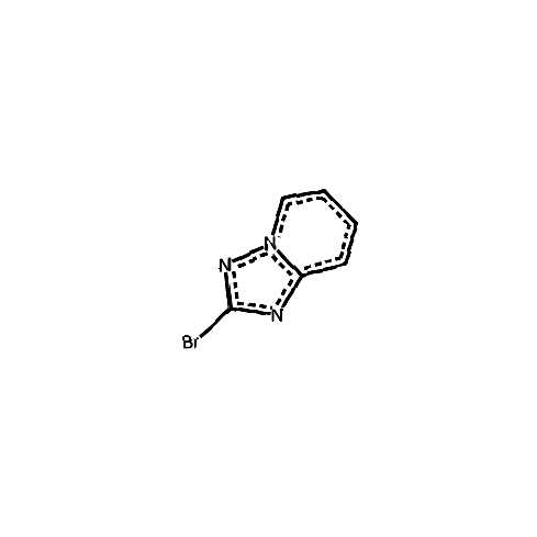 Brc1nc2ccccn2n1